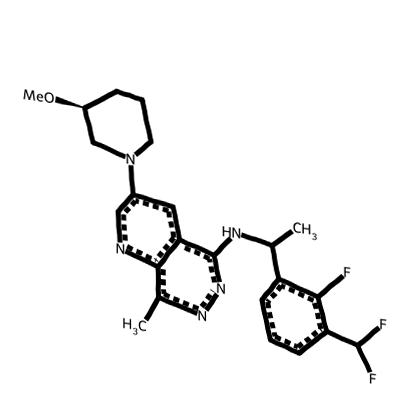 CO[C@H]1CCCN(c2cnc3c(C)nnc(NC(C)c4cccc(C(F)F)c4F)c3c2)C1